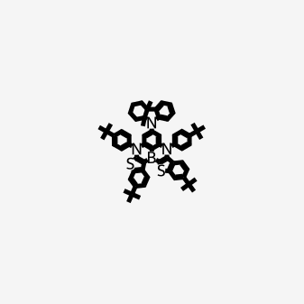 CC(C)(C)c1ccc(N2c3cc(N4c5ccccc5C5(C)CCCCC45C)cc4c3B(c3sc5cc(C(C)(C)C)ccc5c3N4c3ccc(C(C)(C)C)cc3)c3c2sc2cc(C(C)(C)C)ccc32)cc1